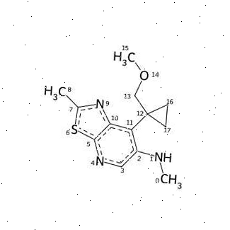 CNc1cnc2sc(C)nc2c1C1(COC)CC1